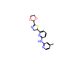 Cc1ccnc(Nc2cccc(C3CN=C(C4OCCO4)S3)n2)c1